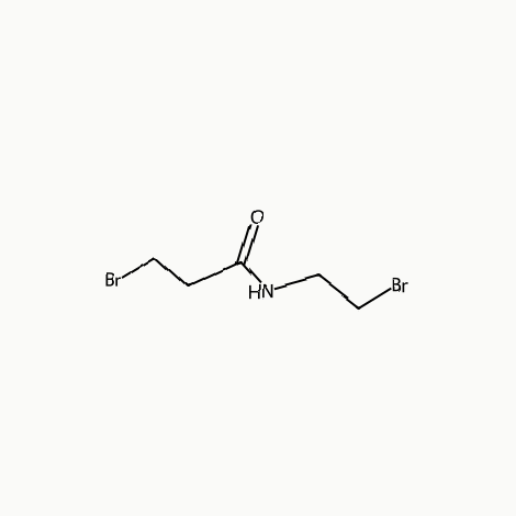 O=C(CCBr)NCCBr